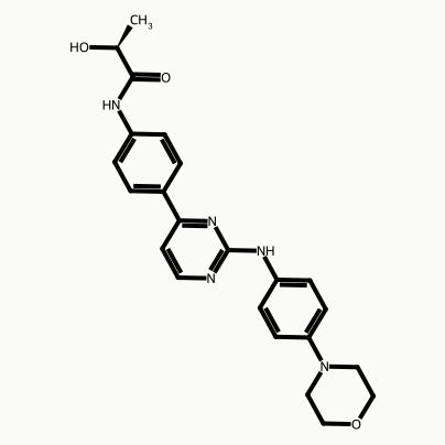 C[C@H](O)C(=O)Nc1ccc(-c2ccnc(Nc3ccc(N4CCOCC4)cc3)n2)cc1